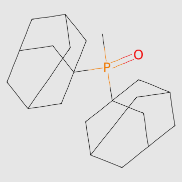 CP(=O)(C12CC3CC(CC(C3)C1)C2)C12CC3CC(CC(C3)C1)C2